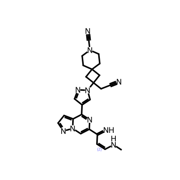 CN/C=C\C(=N)c1cn2nccc2c(-c2cnn(C3(CC#N)CC4(CCN(C#N)CC4)C3)c2)n1